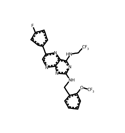 Fc1ccc(-c2cnc3nc(NCc4ccccc4OC(F)(F)F)nc(NCC(F)(F)F)c3n2)cc1